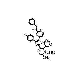 CC1COC(c2nc(-c3ccc(F)cc3)c(-c3ccnc(NCc4ccccc4)n3)[nH]2)C(C2COCOC2)N1C=O